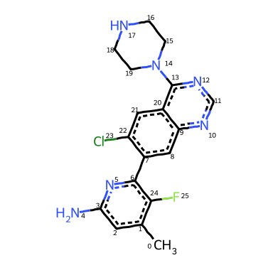 Cc1cc(N)nc(-c2cc3ncnc(N4CCNCC4)c3cc2Cl)c1F